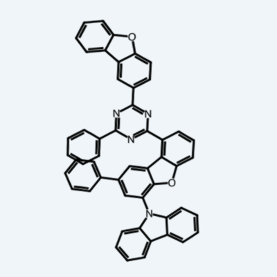 c1ccc(-c2cc(-n3c4ccccc4c4ccccc43)c3oc4cccc(-c5nc(-c6ccccc6)nc(-c6ccc7oc8ccccc8c7c6)n5)c4c3c2)cc1